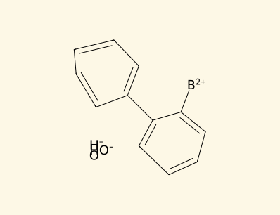 [B+2]c1ccccc1-c1ccccc1.[OH-].[OH-]